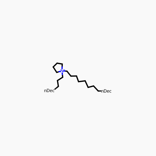 CCCCCCCCCCCCCCCCCC[N+]1(CCCCCCCCCCCCC)CCCC1